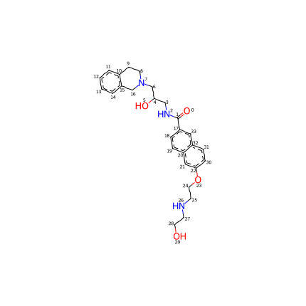 O=C(NCC(O)CN1CCc2ccccc2C1)c1ccc2cc(OCCNCCO)ccc2c1